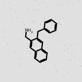 NCc1cc2ccccc2cc1Cc1ccccc1